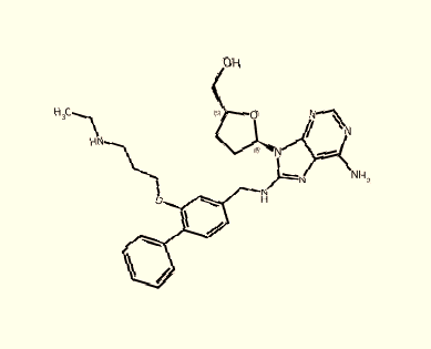 CCNCCCOc1cc(CNc2nc3c(N)ncnc3n2[C@H]2CC[C@@H](CO)O2)ccc1-c1ccccc1